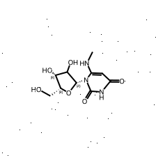 CNc1cc(=O)[nH]c(=O)n1[C@@H]1O[C@H](CO)[C@H](O)C1O